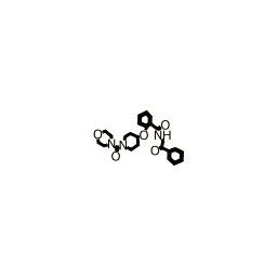 O=C(CNC(=O)c1ccccc1OC1CCN(C(=O)N2CCOCC2)CC1)c1ccccc1